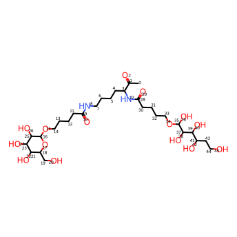 CC(=O)C(CCCCNC(=O)CCCCOC1OC(CO)C(O)C(O)C1O)NC(=O)CCCCOC(O)C(O)C(O)C(O)CCO